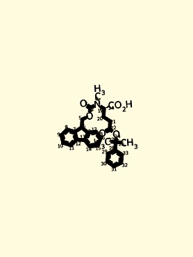 CN(C(=O)OCC1c2ccccc2-c2ccccc21)[C@@H](CCC(=O)OC(C)(C)c1ccccc1)C(=O)O